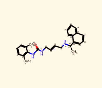 COc1cccc(OC)c1NC(=O)NC/C=C/CN[C@H](C)c1cccc2ccccc12